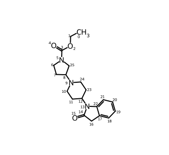 CCOC(=O)N1CCC(N2CCC(N3C(=O)Cc4ccccc43)CC2)C1